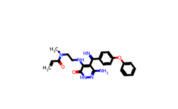 C=CC(=O)N(C)CCNc1c(C(=N)c2ccc(Oc3c#cccc3)cc2)c(N)n[nH]c1=O